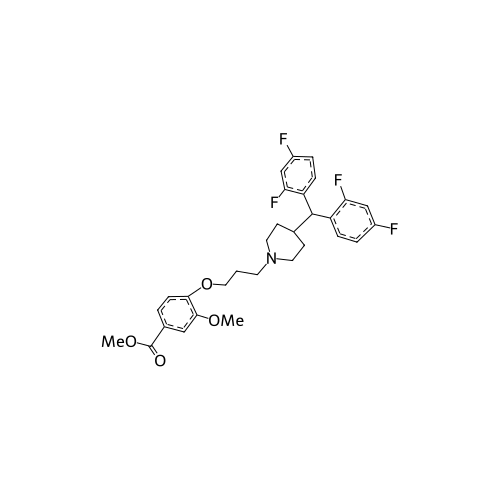 COC(=O)c1ccc(OCCCN2CCC(C(c3ccc(F)cc3F)c3ccc(F)cc3F)CC2)c(OC)c1